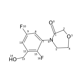 O=C1COCCN1c1cc(F)cc(CO)c1F